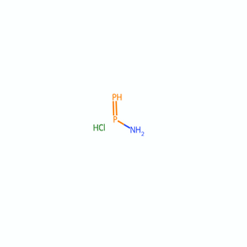 Cl.NP=P